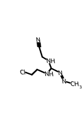 CN=NC(NCC#N)NCCCl